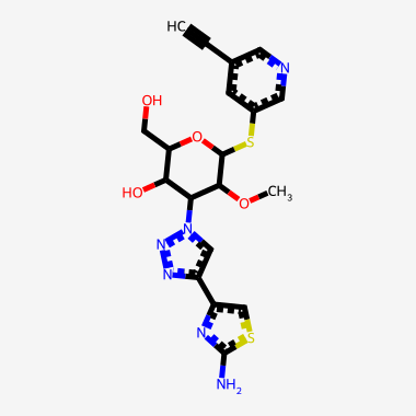 C#Cc1cncc(SC2OC(CO)C(O)C(n3cc(-c4csc(N)n4)nn3)C2OC)c1